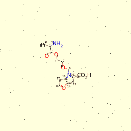 CC(C)C(N)C(=O)OCCOCn1c(C(=O)O)cc2occc21